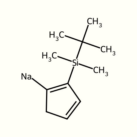 CC(C)(C)[Si](C)(C)C1=[C]([Na])CC=C1